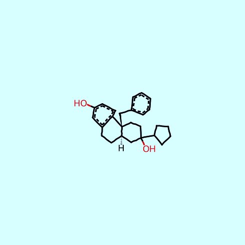 Oc1ccc2c(c1)CC[C@@H]1CC(O)(C3CCCC3)CC[C@@]21Cc1ccccc1